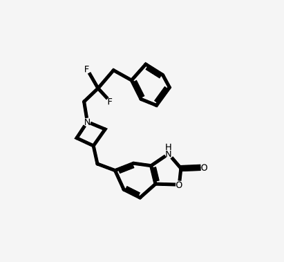 O=c1[nH]c2cc(CC3CN(CC(F)(F)Cc4ccccc4)C3)ccc2o1